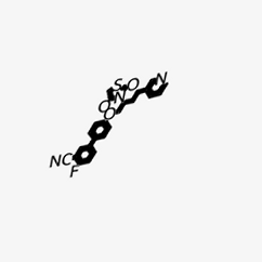 N#Cc1cc(-c2ccc(OCC(CCc3cccnc3)N3C(=O)CSC3=O)cc2)ccc1F